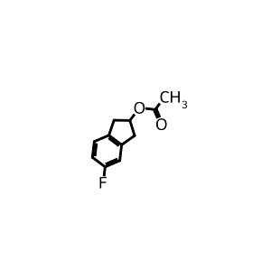 CC(=O)OC1Cc2ccc(F)cc2C1